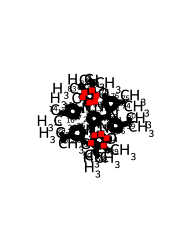 CC(C)c1ccc2c(c1)Oc1cc(C(C)C)ccc1N2c1cc(N2c3ccc(C(C)C)cc3Oc3cc(C(C)C)ccc32)c(N2c3ccc(C(C)C)cc3Oc3cc(C(C)C)ccc32)c(C#N)c1N1c2ccc(C(C)C)cc2Oc2cc(C(C)C)ccc21